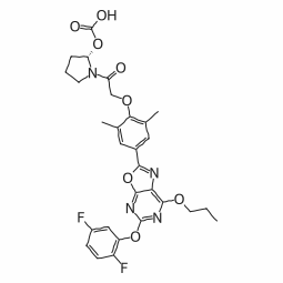 CCCOc1nc(Oc2cc(F)ccc2F)nc2oc(-c3cc(C)c(OCC(=O)N4CCC[C@@H]4OC(=O)O)c(C)c3)nc12